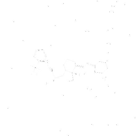 C[C@@H](C#Cc1ccccc1C(C)(C)O)[C@H]1CC[C@H]2/C(=C/C=C3C[C@@H](O)C[C@H](O)C3)CCC[C@]12C